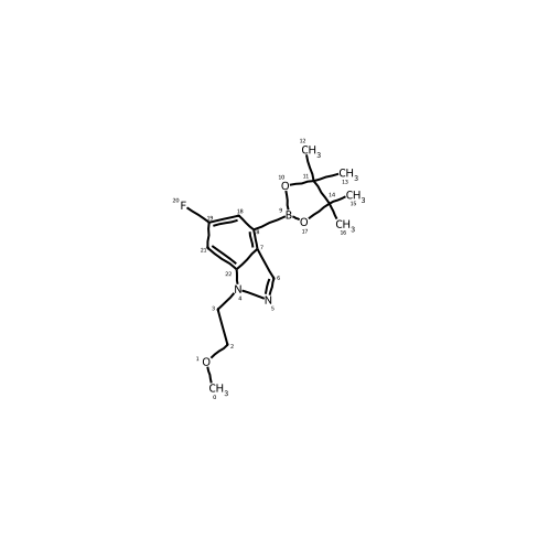 COCCn1ncc2c(B3OC(C)(C)C(C)(C)O3)cc(F)cc21